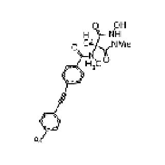 CNC(=O)[C@@](C)(C(=O)NO)N(C)C(=O)c1ccc(C#Cc2ccc(C(C)=O)cc2)cc1